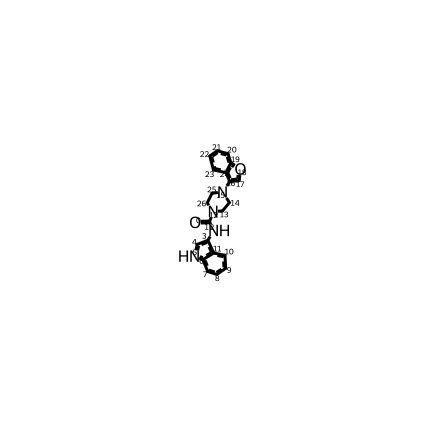 O=C(Nc1c[nH]c2ccccc12)N1CCN(c2coc3ccccc23)CC1